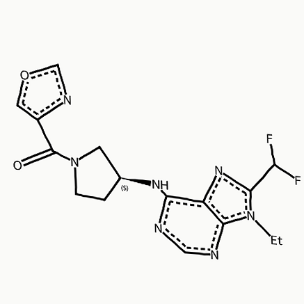 CCn1c(C(F)F)nc2c(N[C@H]3CCN(C(=O)c4cocn4)C3)ncnc21